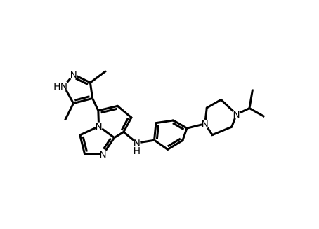 Cc1n[nH]c(C)c1-c1ccc(Nc2ccc(N3CCN(C(C)C)CC3)cc2)c2nccn12